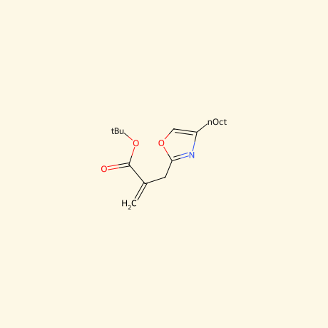 C=C(Cc1nc(CCCCCCCC)co1)C(=O)OC(C)(C)C